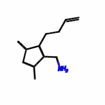 C=CCCC1C(C)CC(C)C1CN